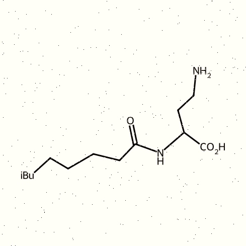 CCC(C)CCCCC(=O)NC(CCN)C(=O)O